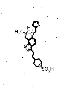 CN(C)Cc1c(OCc2cccs2)ccc2c(CCC3CCN(C(=O)O)CC3)noc12